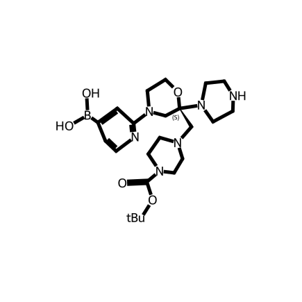 CC(C)(C)OC(=O)N1CCN(C[C@@]2(N3CCNCC3)CN(c3cc(B(O)O)ccn3)CCO2)CC1